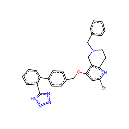 CCc1cc(OCc2ccc(-c3ccccc3-c3nnn[nH]3)cc2)c2c(n1)CCN(Cc1ccccc1)C2